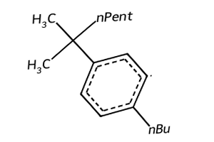 CCCCCC(C)(C)c1c[c]c(CCCC)cc1